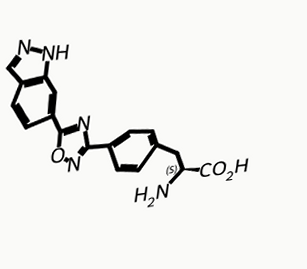 N[C@@H](Cc1ccc(-c2noc(-c3ccc4cn[nH]c4c3)n2)cc1)C(=O)O